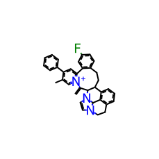 C=C1C2C(CCc3ccc(F)cc3-c3cc(-c4ccccc4)c(C)c[n+]31)c1cccc3c1C1N(C=CN21)CC3